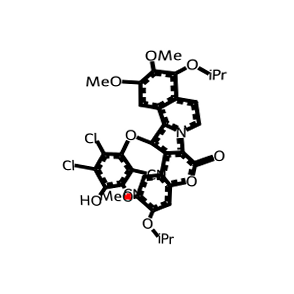 COc1cc2c(cc1OC(C)C)oc(=O)c1c2c(Oc2c(Cl)c(Cl)c(O)c(C#N)c2C#N)c2c3cc(OC)c(OC)c(OC(C)C)c3ccn21